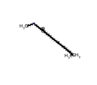 CCCCCC/C=C\CCCCCCCC(=O)OCCCCCCCCCCCCCCCCCCCCCCCCCCCCCC(C)C